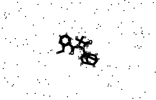 CCc1ccccc1C(=O)N1N(C2C3CC4CC(C3)CC2C4)C(=O)C1(C)C